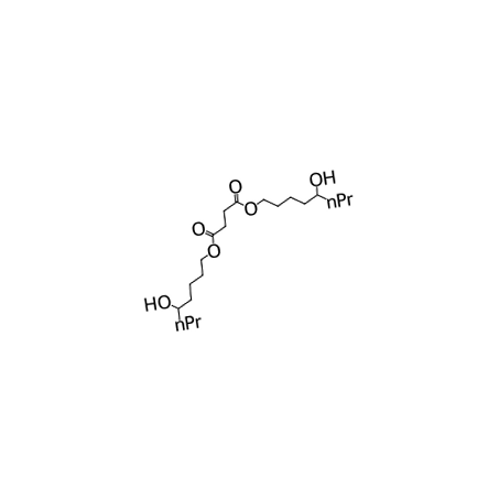 CCCC(O)CCCCOC(=O)CCC(=O)OCCCCC(O)CCC